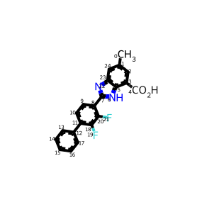 Cc1cc(C(=O)O)c2[nH]c(-c3ccc(-c4ccccc4)c(F)c3F)nc2c1